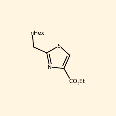 CCCCCCCc1nc(C(=O)OCC)cs1